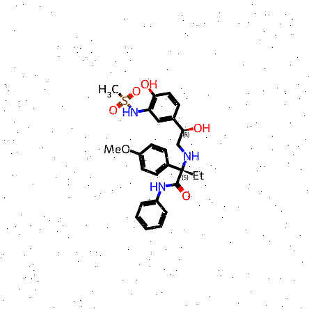 CC[C@@](NC[C@H](O)c1ccc(O)c(NS(C)(=O)=O)c1)(C(=O)Nc1ccccc1)c1ccc(OC)cc1